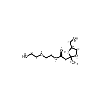 CC1(CC(=O)OCCOCCO)OCC(CO)O1